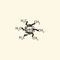 C=CC[SiH]1O[SiH](CC=C)O[SiH](CC=C)O[SiH](CC=C)O[SiH](CC=C)O[SiH](CC=C)O1